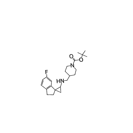 CC(C)(C)OC(=O)N1CCC(CNC2CC23CCc2ccc(F)cc23)CC1